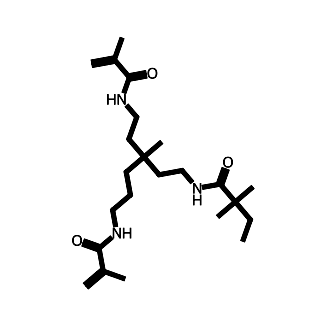 C=C(C)C(=O)NCCCC(C)(CCNC(=O)C(=C)C)CCNC(=O)C(C)(C)CC